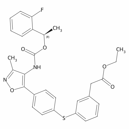 CCOC(=O)Cc1cccc(Sc2ccc(-c3onc(C)c3NC(=O)O[C@H](C)c3ccccc3F)cc2)c1